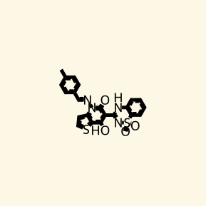 Cc1ccc(/C=N/n2c(=O)c(C3=NS(=O)(=O)c4ccccc4N3)c(O)c3sccc32)cc1